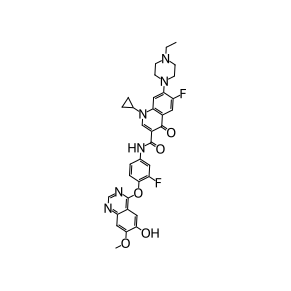 CCN1CCN(c2cc3c(cc2F)c(=O)c(C(=O)Nc2ccc(Oc4ncnc5cc(OC)c(O)cc45)c(F)c2)cn3C2CC2)CC1